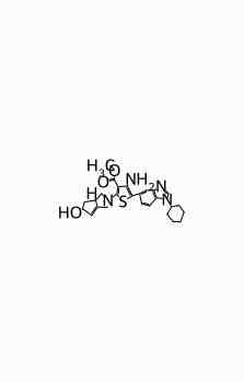 COC(=O)c1c(N2CC3=C[C@H](O)C[C@@H]3C2)sc(-c2ccc3c(c2)ncn3C2CCCCC2)c1N